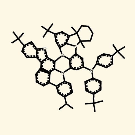 CC(C)c1ccc(N2c3cc(N(c4ccc(C(C)(C)C)cc4)c4ccc(C(C)(C)C)cc4)cc4c3B(c3cc(C(C)(C)C)cc5c3N4C3(C)CCCCC53C)c3c2ccc2c3oc3cc(C(C)(C)C)ccc32)c(-c2ccccc2)c1